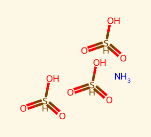 N.O=[SH](=O)O.O=[SH](=O)O.O=[SH](=O)O